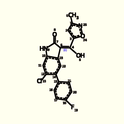 Cc1cc(/C(O)=C2\C(=O)Nc3cc(Cl)c(-c4ccc(F)cc4)cc32)on1